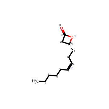 CCCCC/C=C\CC[C@@H]1CC(=O)O1